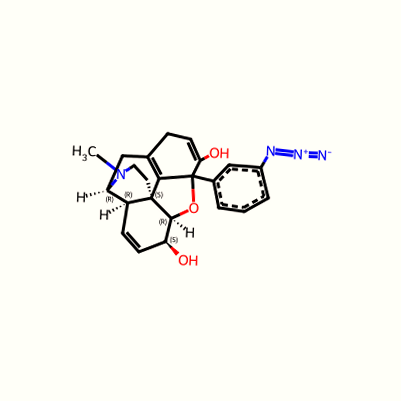 CN1CC[C@]23C4=C5CC=C(O)C4(c4cccc(N=[N+]=[N-])c4)O[C@H]2[C@@H](O)C=C[C@H]3[C@H]1C5